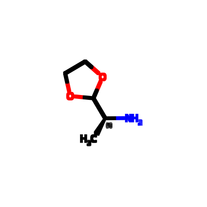 C[C@H](N)C1OCCO1